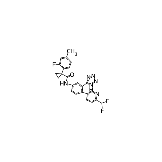 Cc1ccc(C2(C(=O)Nc3ccc(-c4ccc(C(F)F)nc4)c(-c4nnn[nH]4)c3)CC2)c(F)c1